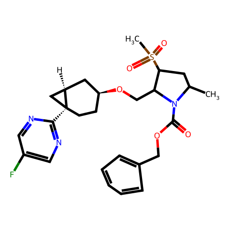 CC1CC(S(C)(=O)=O)C(CO[C@H]2CC[C@@]3(c4ncc(F)cn4)C[C@H]3C2)N1C(=O)OCc1ccccc1